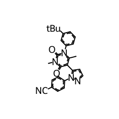 Cc1c(-c2ccnn2-c2ccc(C#N)cc2)c(=O)n(C)c(=O)n1-c1cccc(C(C)(C)C)c1